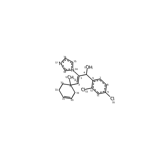 CC1(C=C(C(O)c2ccc(Cl)cc2Cl)n2ccnc2)CC=CCC1